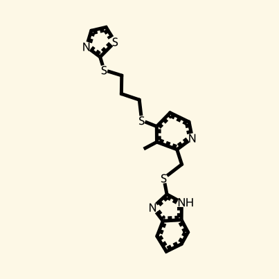 Cc1c(SCCCSc2nccs2)ccnc1CSc1nc2ccccc2[nH]1